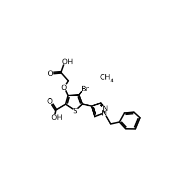 C.O=C(O)COc1c(C(=O)O)sc(-c2cnn(Cc3ccccc3)c2)c1Br